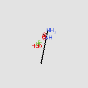 CCCCCCCCCCCCCCCCCCCCCC(=O)N[C@@H](CCCCN)C(=O)OC.O=C(O)C(F)(F)F